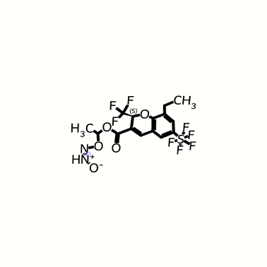 CCc1cc(S(F)(F)(F)(F)F)cc2c1O[C@H](C(F)(F)F)C(C(=O)OC(C)O/N=[NH+]\[O-])=C2